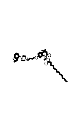 CCCCCCCCCCCCCC(=O)OC(C)N1C(=O)CC(C)(C)c2ccc(OCCCCN3CCN(c4cccc5sccc45)CC3)cc21